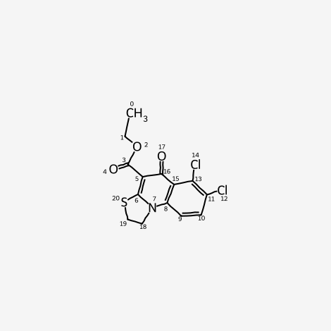 CCOC(=O)c1c2n(c3ccc(Cl)c(Cl)c3c1=O)CCS2